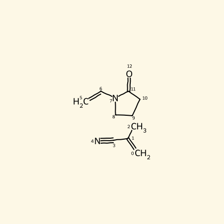 C=C(C)C#N.C=CN1CCCC1=O